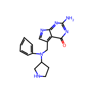 NC1=NC(=O)C2=C(CN(c3ccccc3)C3CCNC3)C=NC2=N1